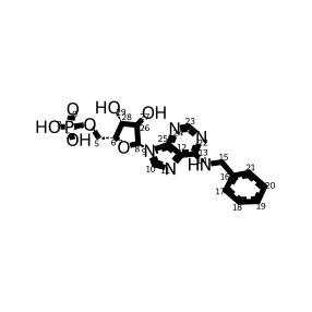 O=P(O)(O)OC[C@H]1O[C@@H](n2cnc3c(NCc4ccccc4)ncnc32)C(O)[C@H]1O